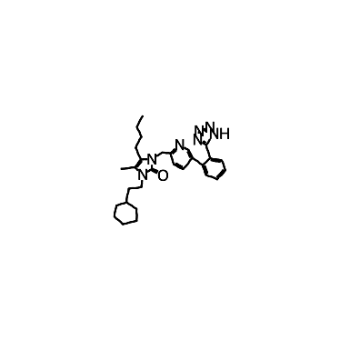 CCCCc1c(C)n(CCC2CCCCC2)c(=O)n1Cc1ccc(-c2ccccc2-c2nnn[nH]2)cn1